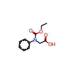 CCOC(=O)N(CC(=O)O)c1ccccc1